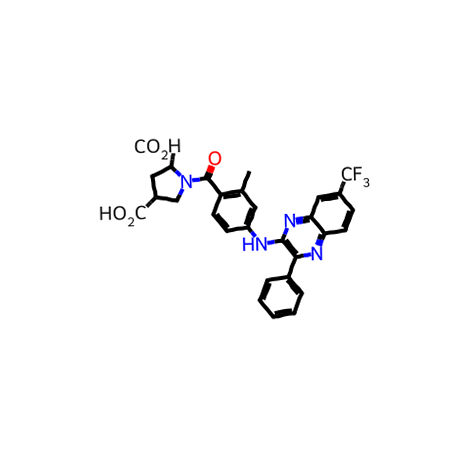 Cc1cc(Nc2nc3cc(C(F)(F)F)ccc3nc2-c2ccccc2)ccc1C(=O)N1CC(C(=O)O)CC1C(=O)O